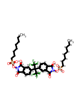 CCCCCCCCS(=O)(=O)ON1C(=O)c2ccc(C(c3ccc4c(c3)C(=O)N(OS(=O)(=O)CCCCCCCC)C4=O)(C(F)(F)F)C(F)(F)F)cc2C1=O